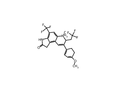 COC1=CC=C(C2=Cc3c(cc(C(F)(F)F)c4c3CC(=O)N4)N(C)C2CC(F)(F)F)CC1